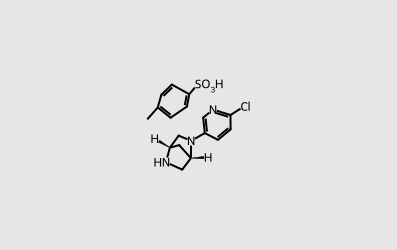 Cc1ccc(S(=O)(=O)O)cc1.Clc1ccc(N2C[C@@H]3C[C@H]2CN3)cn1